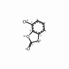 O=C1[N]c2cccc(Cl)c2O1